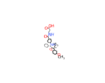 COc1ccc2oc(C(Nc3ccc(C(=O)NCCC(=O)O)cc3)C3CCCCC3)c(C)c2c1